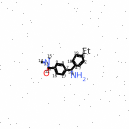 CCc1ccc(C(N)c2ccc(C(=O)N(C)C)cc2)cc1